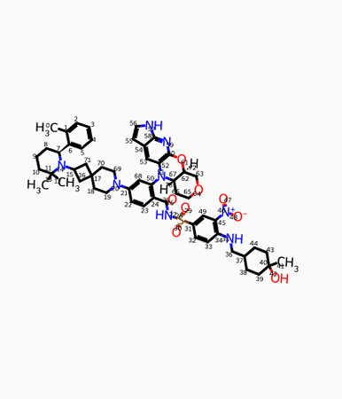 Cc1ccccc1[C@@H]1CCCC(C)(C)N1C1CC2(CCN(c3ccc(C(=O)NS(=O)(=O)c4ccc(NCC5CCC(C)(O)CC5)c([N+](=O)[O-])c4)c(N4c5cc6cc[nH]c6nc5O[C@H]5COCC[C@@H]54)c3)CC2)C1